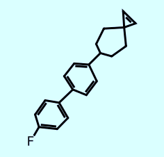 Fc1ccc(-c2ccc(C3CCC4(C=C4)CC3)cc2)cc1